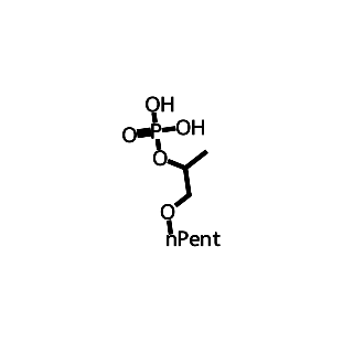 CCCCCOCC(C)OP(=O)(O)O